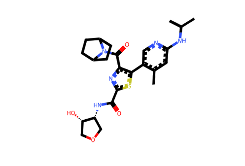 Cc1cc(NC(C)C)ncc1-c1sc(C(=O)N[C@@H]2COC[C@@H]2O)nc1C(=O)N1C2CCC1CC2